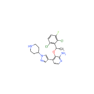 CC(Oc1c(-c2cnn(C3CCNCC3)c2)ccnc1N)c1c(Cl)ccc(F)c1Cl